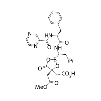 COC(=O)C[C@]1(CC(=O)O)OB([C@H](CC(C)C)NC(=O)[C@H](Cc2ccccc2)NC(=O)c2cnccn2)OC1=O